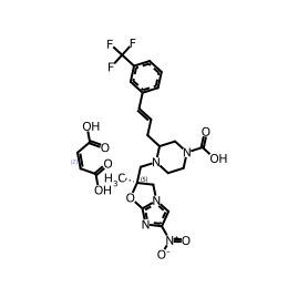 C[C@]1(CN2CCN(C(=O)O)CC2CC=Cc2cccc(C(F)(F)F)c2)Cn2cc([N+](=O)[O-])nc2O1.O=C(O)/C=C\C(=O)O